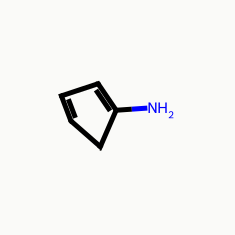 NC1=CC=C[CH]1